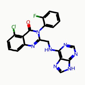 O=c1c2c(Cl)cccc2nc(CNc2ncnc3[nH]cnc23)n1-c1ccccc1F